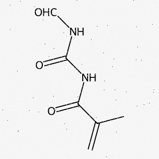 C=C(C)C(=O)NC(=O)NC=O